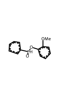 COc1ccccc1O[PH](=O)c1ccccc1